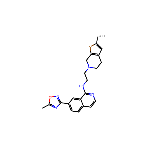 Cc1nc(-c2ccc3ccnc(NCCN4CCc5cc(C(=O)O)sc5C4)c3c2)no1